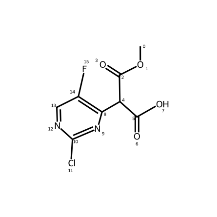 COC(=O)C(C(=O)O)c1nc(Cl)ncc1F